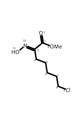 COC(=O)/C(CCCCCCl)=N/O